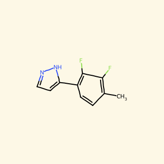 Cc1ccc(-c2ccn[nH]2)c(F)c1F